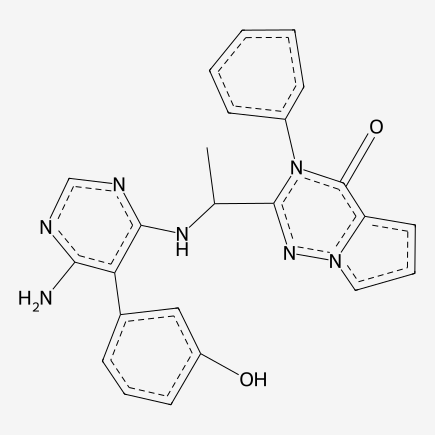 CC(Nc1ncnc(N)c1-c1cccc(O)c1)c1nn2cccc2c(=O)n1-c1ccccc1